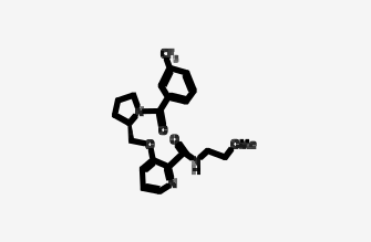 COCCNC(=O)c1ncccc1OC[C@H]1CCCN1C(=O)c1cccc(C(F)(F)F)c1